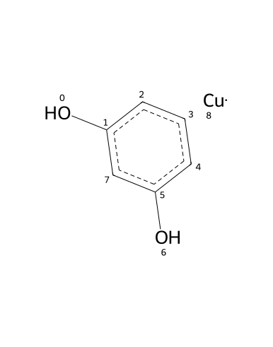 Oc1cccc(O)c1.[Cu]